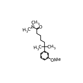 COc1cccc(C(C)(C)CCCCC(=O)N(C)C)c1